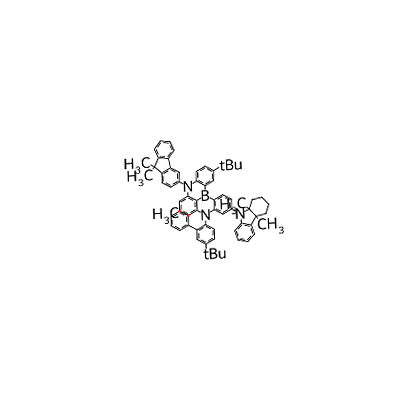 Cc1cc2c3c(c1)N(c1ccc(C(C)(C)C)cc1-c1ccccc1)c1cc(N4c5ccccc5C5(C)CCCCC45C)ccc1B3c1cc(C(C)(C)C)ccc1N2c1ccc2c(c1)-c1ccccc1C2(C)C